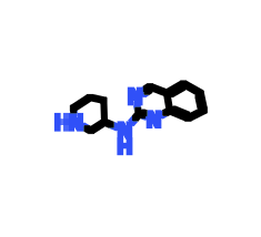 c1ccc2nc(NC3CCCNC3)ncc2c1